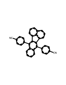 N#Cc1ccc(-c2c3c(c(-c4ccc(C#N)cc4)c4ccccc24)-c2cccc4cccc-3c24)cc1